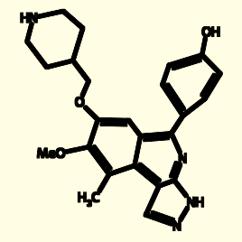 COc1c(OCC2CCNCC2)cc2c(-c3ccc(O)cc3)nc3[nH]ncc3c2c1C